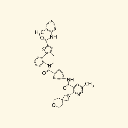 Cc1cnc(N2CC3(CCOCC3)C2)c(C(=O)Nc2ccc(C(=O)N3CCc4cc(C(=O)Nc5ccccc5C)sc4-c4ccccc43)cc2)c1